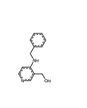 OCc1cnccc1NCc1ccccc1